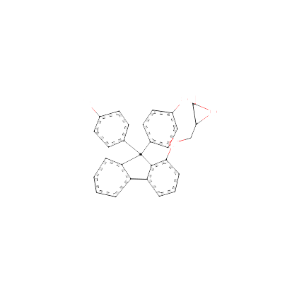 Oc1ccc(C2(c3ccc(O)cc3)c3ccccc3-c3cccc(OCC4CO4)c32)cc1